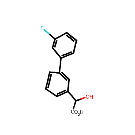 O=C(O)C(O)c1cccc(-c2cccc(F)c2)c1